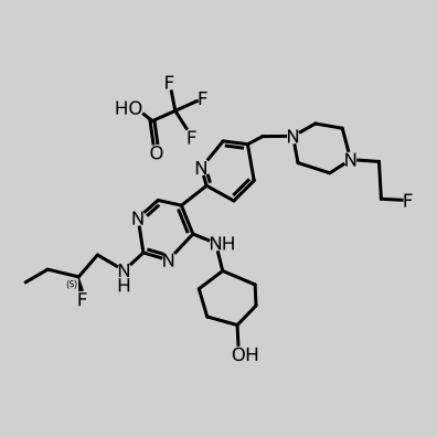 CC[C@H](F)CNc1ncc(-c2ccc(CN3CCN(CCF)CC3)cn2)c(NC2CCC(O)CC2)n1.O=C(O)C(F)(F)F